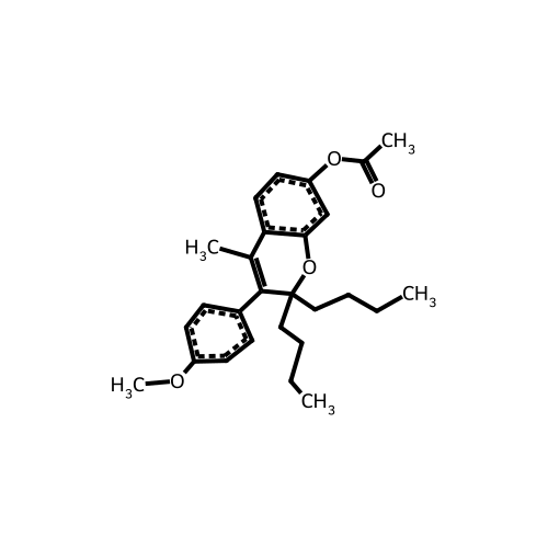 CCCCC1(CCCC)Oc2cc(OC(C)=O)ccc2C(C)=C1c1ccc(OC)cc1